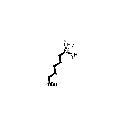 [CH2]N(C)CCCCCCCCC